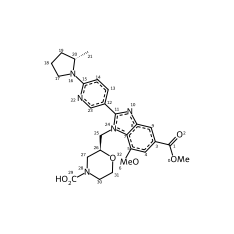 COC(=O)c1cc(OC)c2c(c1)nc(-c1ccc(N3CCC[C@@H]3C)nc1)n2C[C@@H]1CN(C(=O)O)CCO1